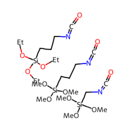 CCO[Si](CCCN=C=O)(OCC)OCC.CO[Si](CCCN=C=O)(OC)OC.CO[Si](CN=C=O)(OC)OC